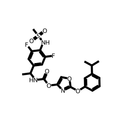 CC(C)c1cccc(Oc2nc(OC(=O)NC(C)c3cc(F)c(NS(C)(=O)=O)c(F)c3)co2)c1